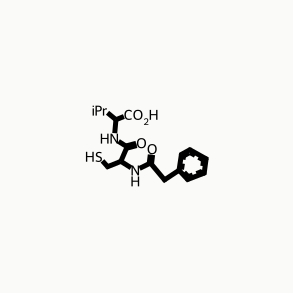 CC(C)C(NC(=O)C(CS)NC(=O)Cc1ccccc1)C(=O)O